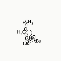 C[C@@H]1OC(=O)[C@@H](N(C(=O)OC(C)(C)C)C(=O)OC(C)(C)C)CCCC[C@H]1OCCC(C)(F)F